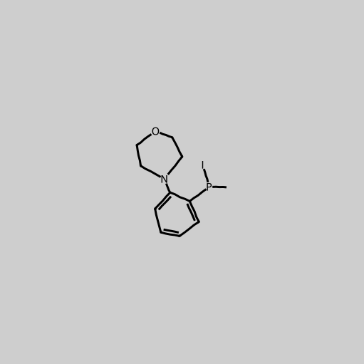 CP(I)c1ccccc1N1CCOCC1